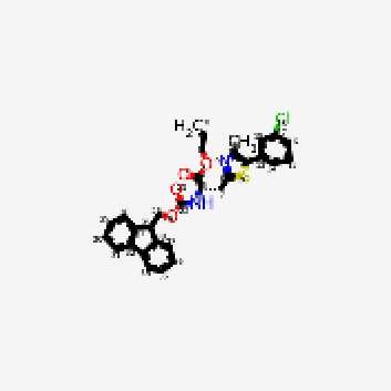 C=CCOC(=O)[C@H](Cc1nc(C)c(-c2cccc(Cl)c2)s1)NC(=O)OCC1c2ccccc2-c2ccccc21